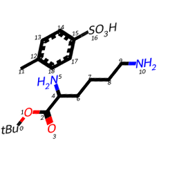 CC(C)(C)OC(=O)C(N)CCCCN.Cc1ccc(S(=O)(=O)O)cc1